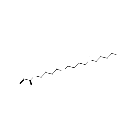 C=CC(=O)OCCCCOCCCCOCCCCO